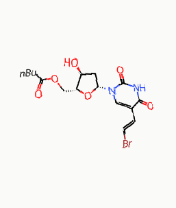 CCCCC(=O)OC[C@H]1O[C@@H](n2cc(/C=C/Br)c(=O)[nH]c2=O)C[C@@H]1O